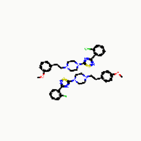 COc1ccc(CCN2CCN(c3nc(-c4ccccc4Cl)ns3)CC2)cc1.COc1cccc(CCN2CCN(c3nc(-c4ccccc4Cl)ns3)CC2)c1